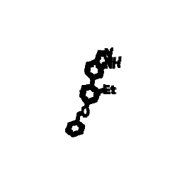 CCc1cc(OCc2ccccc2)ccc1-c1ccc2cn[nH]c2c1